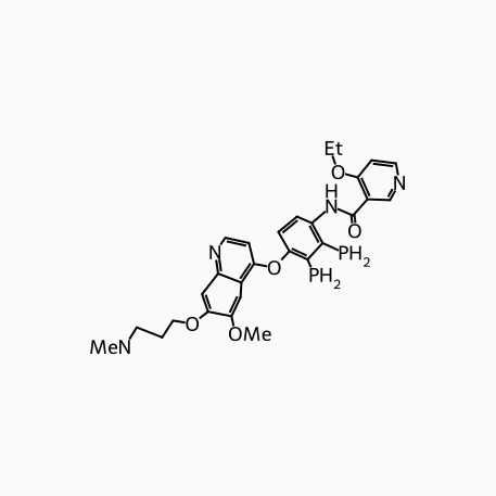 CCOc1ccncc1C(=O)Nc1ccc(Oc2ccnc3cc(OCCCNC)c(OC)cc23)c(P)c1P